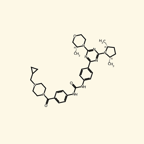 C[C@@H]1COCCN1c1nc(-c2ccc(NC(=O)Nc3ccc(C(=O)N4CCN(CC5CC5)CC4)cc3)cc2)nc(N2[C@H](C)CC[C@@H]2C)n1